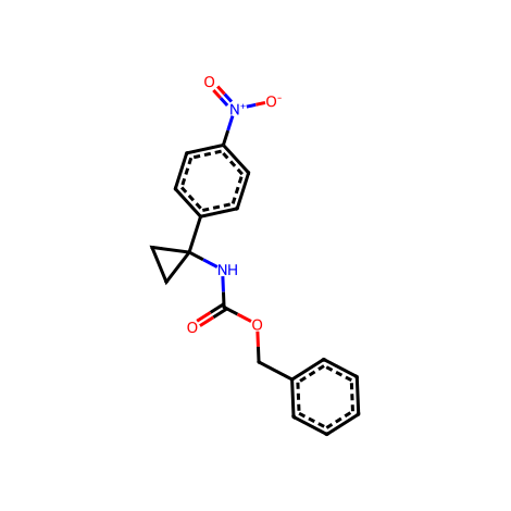 O=C(NC1(c2ccc([N+](=O)[O-])cc2)CC1)OCc1ccccc1